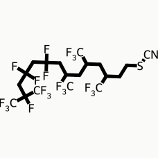 N#CSCCC(CC(CC(CC(F)(F)CC(F)(F)CC(F)(C(F)(F)F)C(F)(F)F)C(F)(F)F)C(F)(F)F)C(F)(F)F